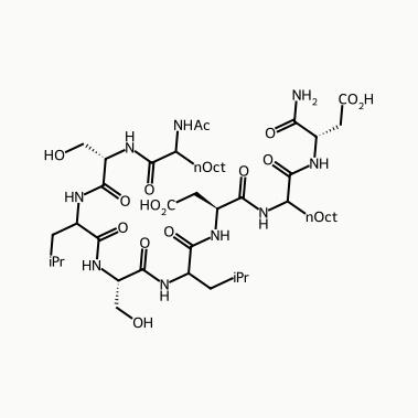 CCCCCCCCC(NC(C)=O)C(=O)N[C@@H](CO)C(=O)NC(CC(C)C)C(=O)N[C@@H](CO)C(=O)NC(CC(C)C)C(=O)N[C@@H](CC(=O)O)C(=O)NC(CCCCCCCC)C(=O)N[C@@H](CC(=O)O)C(N)=O